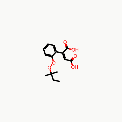 CCC(C)(C)OOc1ccccc1C(=CC(=O)O)C(=O)O